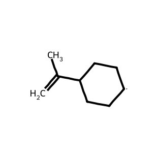 C=C(C)C1CC[CH]CC1